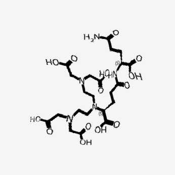 NC(=O)CC[C@H](NC(=O)CC[C@@H](C(=O)O)N(CCN(CC(=O)O)CC(=O)O)CCN(CC(=O)O)CC(=O)O)C(=O)O